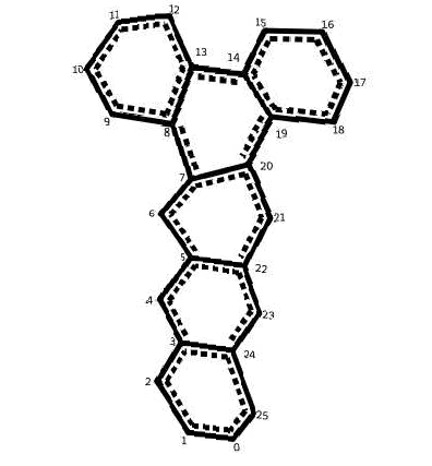 c1ccc2cc3cc4c5ccccc5c5ccccc5c4cc3cc2c1